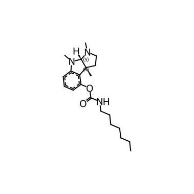 CCCCCCCNC(=O)Oc1cccc2c1[C@@]1(C)CCN(C)[C@H]1N2C